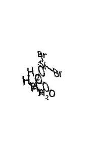 Br[Si]Br.O.O.O.O